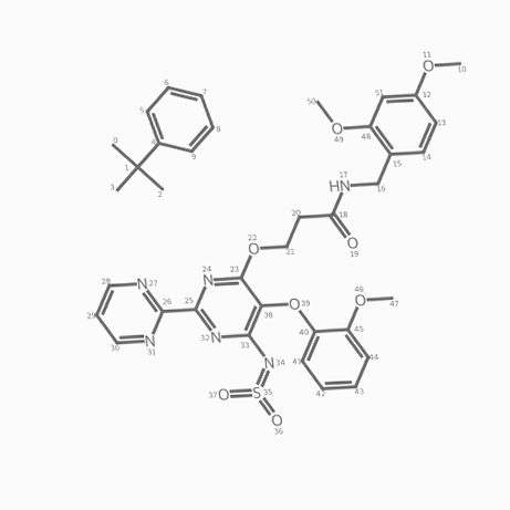 CC(C)(C)c1ccccc1.COc1ccc(CNC(=O)CCOc2nc(-c3ncccn3)nc(N=S(=O)=O)c2Oc2ccccc2OC)c(OC)c1